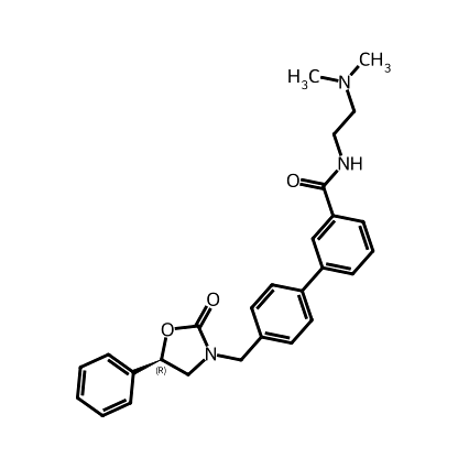 CN(C)CCNC(=O)c1cccc(-c2ccc(CN3C[C@@H](c4ccccc4)OC3=O)cc2)c1